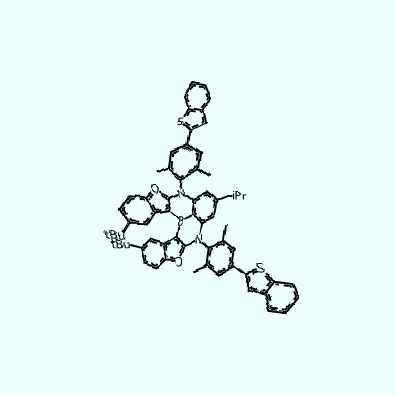 Cc1cc(-c2cc3ccccc3s2)cc(C)c1N1c2cc(C(C)C)cc3c2B(c2c1oc1ccc(C(C)(C)C)cc21)c1c(oc2ccc(C(C)(C)C)cc12)N3c1c(C)cc(-c2cc3ccccc3s2)cc1C